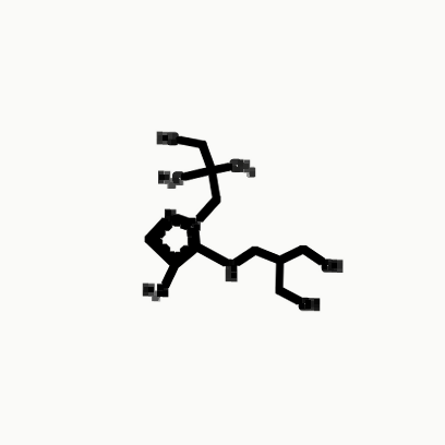 CC(C)(CO)Cn1ncc(N)c1NCC(CO)CO